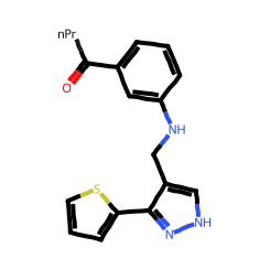 CCCC(=O)c1cccc(NCc2c[nH]nc2-c2cccs2)c1